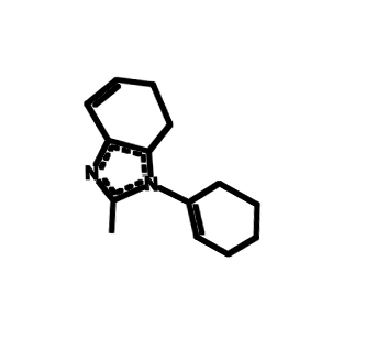 Cc1nc2c(n1C1=CCCCC1)CCC=C2